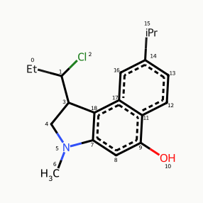 CCC(Cl)C1CN(C)c2cc(O)c3ccc(C(C)C)cc3c21